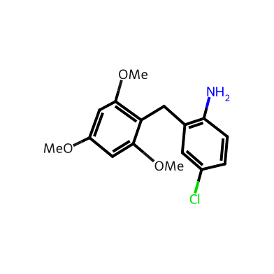 COc1cc(OC)c(Cc2cc(Cl)ccc2N)c(OC)c1